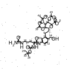 COC(=O)[C@H]1O[C@@H](CCc2cc(NC(=O)C(CCCNC(N)=O)NC(=O)OC(C)(C)C)ccc2CO)[C@H](OC(C)=O)[C@@H](OC(C)=O)[C@@H]1OC(C)=O